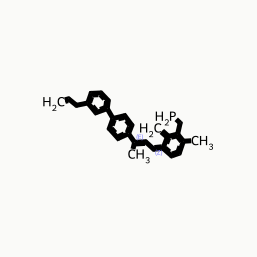 C=CCc1cccc(-c2ccc(/C(C)=C/C=c3/ccc(C)c(CP)c3=C)cc2)c1